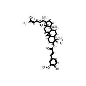 COc1cc(/C=C/C(=O)OC2CCC34CC35CCC3(C)C([C@H](C)CCC=C(C)C)CC[C@@]3(C)C5CCC4C2(C)C)ccc1O